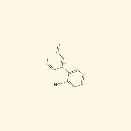 C=C/C=C(\C=C/C)c1ccccc1O